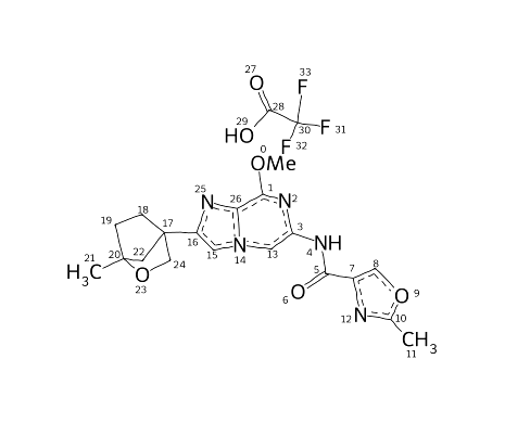 COc1nc(NC(=O)c2coc(C)n2)cn2cc(C34CCC(C)(C3)OC4)nc12.O=C(O)C(F)(F)F